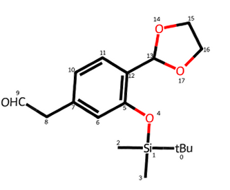 CC(C)(C)[Si](C)(C)Oc1cc(CC=O)ccc1C1OCCO1